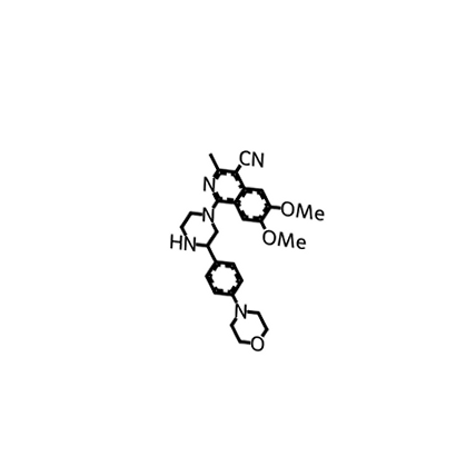 COc1cc2c(N3CCNC(c4ccc(N5CCOCC5)cc4)C3)nc(C)c(C#N)c2cc1OC